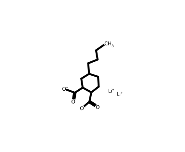 CCCCC1CCC(C(=O)[O-])C(C(=O)[O-])C1.[Li+].[Li+]